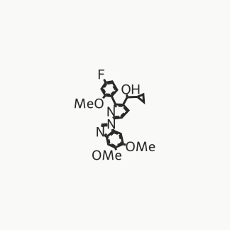 COc1cc2ncn(-c3ccc(C(O)C4CC4)c(-c4ccc(F)cc4OC)n3)c2cc1OC